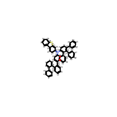 c1ccc(-c2ccccc2-c2ccccc2-c2ccc(N(c3ccc4c(c3)sc3ccccc34)c3ccc(-c4ccccc4)c(-c4ccccc4)c3-c3ccccc3)cc2)cc1